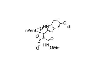 CCCCCC1(O)OC(=C=O)C(C(=O)NOC)=C1c1cc2cc(OCC)ccc2[nH]1